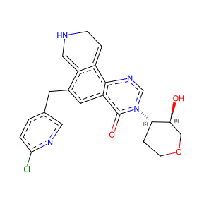 O=c1c2cc(Cc3ccc(Cl)nc3)c3c(c2ncn1[C@H]1CCOC[C@@H]1O)=CCNC=3